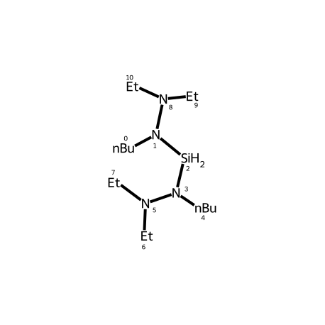 CCCCN([SiH2]N(CCCC)N(CC)CC)N(CC)CC